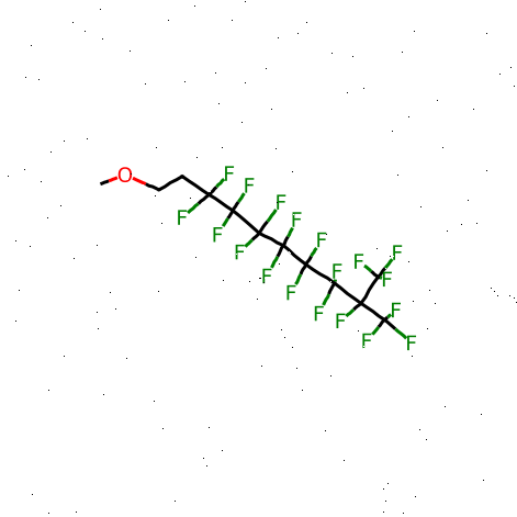 COCCC(F)(F)C(F)(F)C(F)(F)C(F)(F)C(F)(F)C(F)(F)C(F)(C(F)(F)F)C(F)(F)F